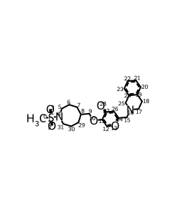 CS(=O)(=O)N1CCCC(COc2coc(CN3CCc4ccccc4C3)cc2=O)CCC1